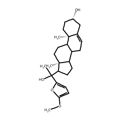 COc1ccc(C(C)(O)C2CCC3C4CC=C5C[C@@H](O)CC[C@]5(C)C4CC[C@@]32C)o1